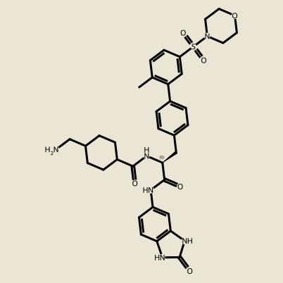 Cc1ccc(S(=O)(=O)N2CCOCC2)cc1-c1ccc(C[C@H](NC(=O)C2CCC(CN)CC2)C(=O)Nc2ccc3[nH]c(=O)[nH]c3c2)cc1